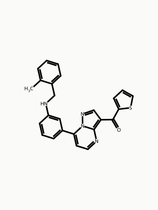 Cc1ccccc1CNc1cccc(-c2ccnc3c(C(=O)c4cccs4)cnn23)c1